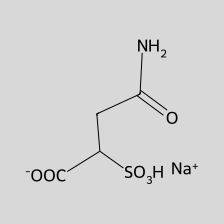 NC(=O)CC(C(=O)[O-])S(=O)(=O)O.[Na+]